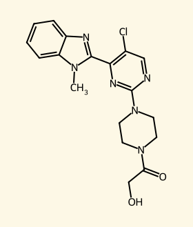 Cn1c(-c2nc(N3CCN(C(=O)CO)CC3)ncc2Cl)nc2ccccc21